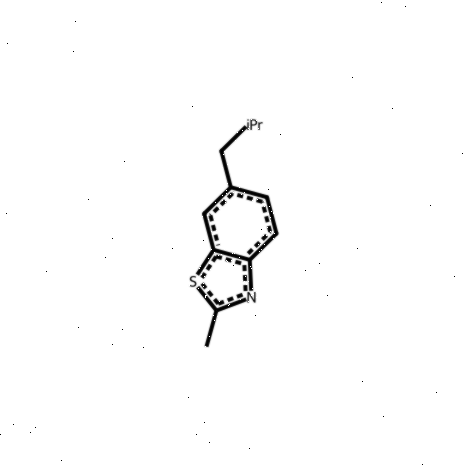 Cc1nc2ccc(CC(C)C)cc2s1